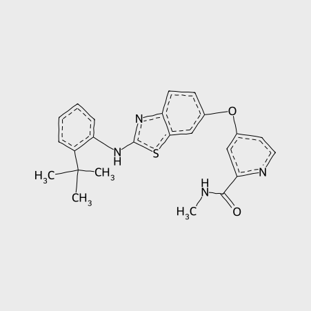 CNC(=O)c1cc(Oc2ccc3nc(Nc4ccccc4C(C)(C)C)sc3c2)ccn1